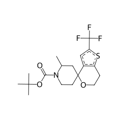 CC1CC2(CCN1C(=O)OC(C)(C)C)OCCc1sc(C(F)(F)F)cc12